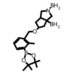 BN1CC2CC(OCc3cccc(B4OC(C)(C)C(C)(C)O4)c3C)CC2(B)C1